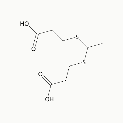 CC(SCCC(=O)O)SCCC(=O)O